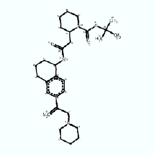 C=C(CN1CCCCC1)c1ccc2c(c1)CCCC2NC(=O)CC1CCCCN1C(=O)OC(C)(C)C